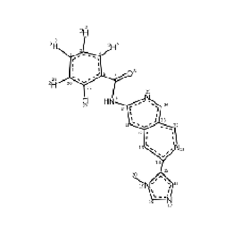 [2H]c1c([2H])c([2H])c(C(=O)Nc2cc3cc(-c4cncn4C)ncc3cn2)c(Cl)c1[2H]